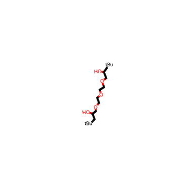 CC(C)(C)CC(O)COCCOCCOCC(O)CC(C)(C)C